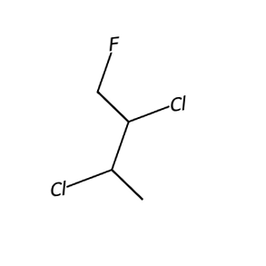 CC(Cl)C(Cl)CF